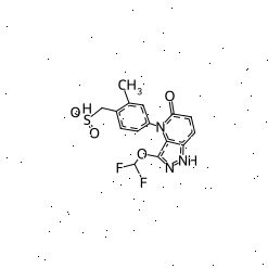 Cc1cc(-n2c(=O)ccc3[nH]nc(OC(F)F)c32)ccc1C[SH](=O)=O